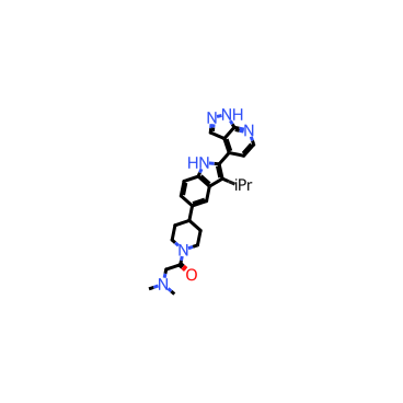 CC(C)c1c(-c2ccnc3[nH]ncc23)[nH]c2ccc(C3CCN(C(=O)CN(C)C)CC3)cc12